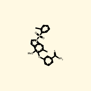 CSc1c(Oc2cccc(C(N)=S)c2)c(F)cc2c1ccn2S(=O)(=O)c1ccccc1C